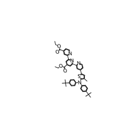 CCOC(=O)c1ccnc(-c2cc(C(=O)OCC)cc(-c3cc(-c4cc(C)c(N(c5ccc(C(C)(C)C)cc5)c5ccc(C(C)(C)C)cc5)s4)ccn3)n2)c1